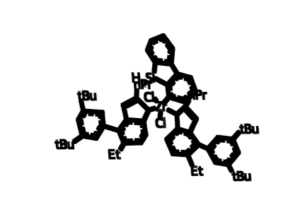 CCCC1=Cc2c(ccc(CC)c2-c2cc(C(C)(C)C)cc(C(C)(C)C)c2)[CH]1[Zr]([Cl])([Cl])([c]1cccc2c1[SiH2]c1ccccc1-2)[CH]1C(CCC)=Cc2c1ccc(CC)c2-c1cc(C(C)(C)C)cc(C(C)(C)C)c1